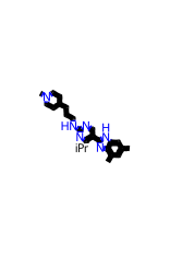 Cc1cc(C)c2nc(-c3cnc(NCCCC4CCN(C)CC4)nc3C(C)C)[nH]c2c1